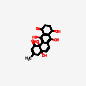 CC1=CC(=O)C2(O)c3c(O)c4c(c(O)c3C=CC2(O)C1)C(O)CCC4=O